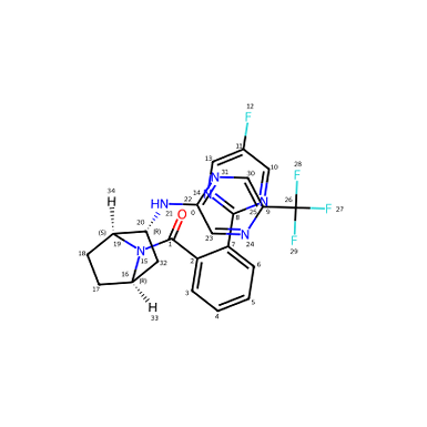 O=C(c1ccccc1-c1ncc(F)cn1)N1[C@@H]2CC[C@H]1[C@H](Nc1cnc(C(F)(F)F)cn1)C2